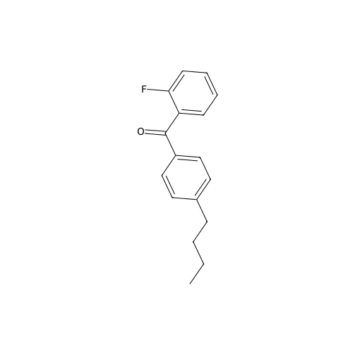 CCCCc1ccc(C(=O)c2ccccc2F)cc1